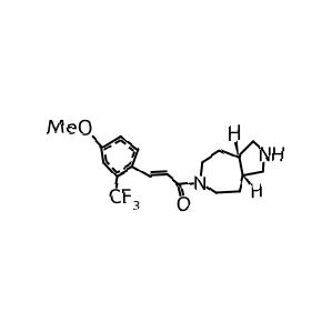 COc1ccc(C=CC(=O)N2CC[C@@H]3CNC[C@@H]3CC2)c(C(F)(F)F)c1